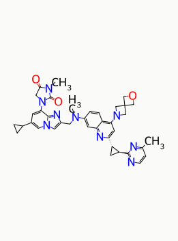 Cc1ccnc([C@H]2C[C@@H]2c2cc(N3CC4(COC4)C3)c3ccc(N(C)Cc4cn5cc(C6CC6)cc(N6CC(=O)N(C)C6=O)c5n4)cc3n2)n1